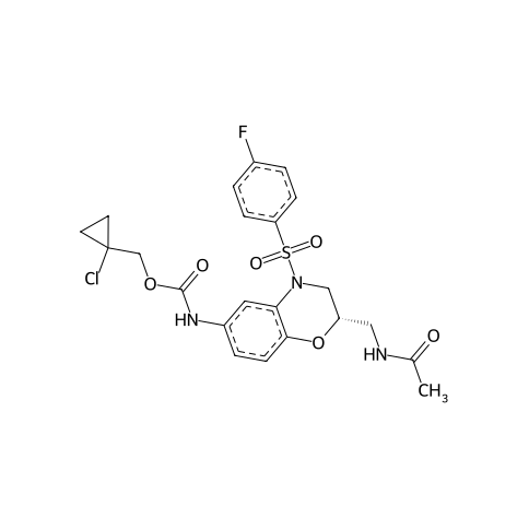 CC(=O)NC[C@H]1CN(S(=O)(=O)c2ccc(F)cc2)c2cc(NC(=O)OCC3(Cl)CC3)ccc2O1